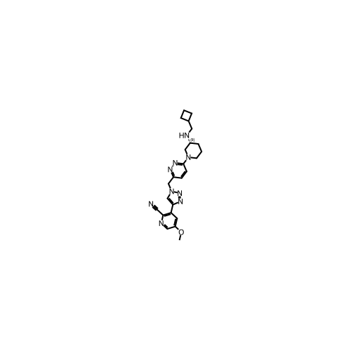 COc1cnc(C#N)c(-c2cn(Cc3ccc(N4CCC[C@@H](NCC5CCC5)C4)nn3)nn2)c1